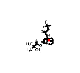 CC(C)(C)C(=O)O[C@@H]1C2[C@H]3CC(CN2C(=O)CC(F)(F)F)CN31